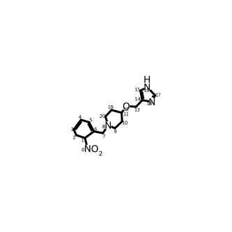 O=[N+]([O-])C1CC=CC=C1CN1CCC(OCc2c[nH]cn2)CC1